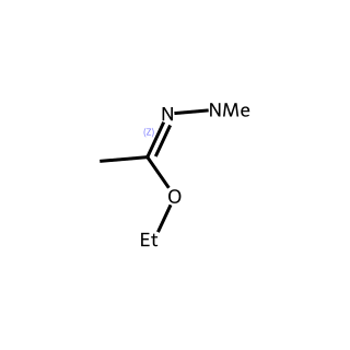 CCO/C(C)=N\NC